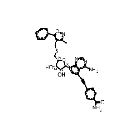 Cc1noc(-c2ccccc2)c1CSC[C@H]1O[C@@H](n2cc(C#Cc3ccc(C(N)=O)cc3)c3c(N)ncnc32)[C@H](O)[C@@H]1O